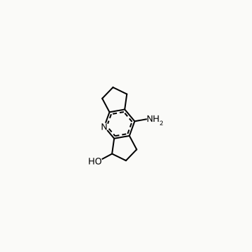 Nc1c2c(nc3c1CCC3O)CCC2